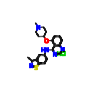 Cc1nsc2ccc(Nc3ncnc4cccc(OC5CCN(C)CC5)c34)cc12.Cl